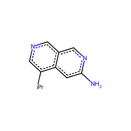 CC(C)c1cncc2cnc(N)cc12